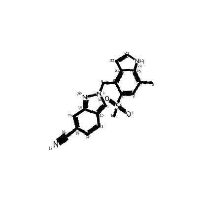 Cc1cc(S(C)(=O)=O)c(Cn2cc3ccc(C#N)cc3n2)c2cc[nH]c12